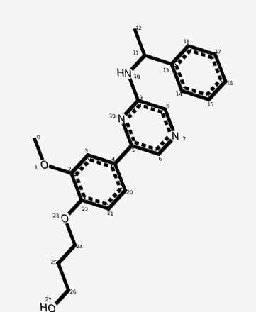 COc1cc(-c2cncc(NC(C)c3ccccc3)n2)ccc1OCCCO